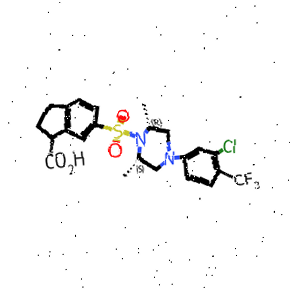 C[C@@H]1CN(c2ccc(C(F)(F)F)c(Cl)c2)C[C@H](C)N1S(=O)(=O)c1ccc2c(c1)C(C(=O)O)CC2